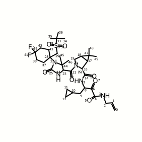 C=CCNC(=O)C(=O)C(CC1CC1)NC(=O)[C@@H]1C2C(CN1C(=O)C1NC(=O)N(C3(CS(=O)(=O)C(C)(C)C)CCC(F)(F)CC3)C1(C)C)C2(C)C